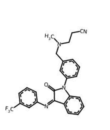 CN(CCC#N)Cc1cccc(N2C(=O)C(=Nc3cccc(C(F)(F)F)c3)c3ccccc32)c1